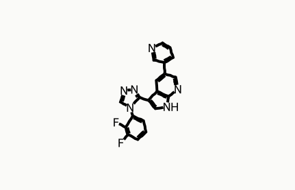 Fc1cccc(-n2cnnc2-c2c[nH]c3ncc(-c4cccnc4)cc23)c1F